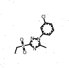 [CH2]CS(=O)(=O)c1nc(C)n(-c2cccc(Cl)c2)n1